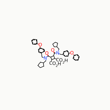 O=C(O)C1C(C(=O)O)C(C(=O)N(Cc2ccc(Oc3ccccc3)cc2)CC2CCCC2)C1C(=O)N(Cc1ccc(Oc2ccccc2)cc1)CC1CCCC1